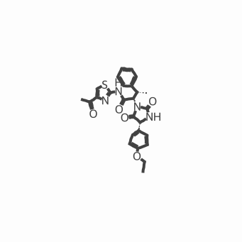 CCOc1ccc([C@H]2NC(=O)N([C@H](C(=O)Nc3nc(C(C)=O)cs3)[C@@H](C)c3ccccc3)C2=O)cc1